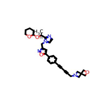 C[C@H](OC1CCCCO1)c1nccn1Cc1cc(-c2ccc(C#CC#CCN3CC4(COC4)C3)cc2)on1